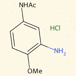 COc1ccc(NC(C)=O)cc1N.Cl